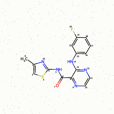 Cc1csc(NC(=O)c2nccnc2Nc2cccc(F)c2)n1